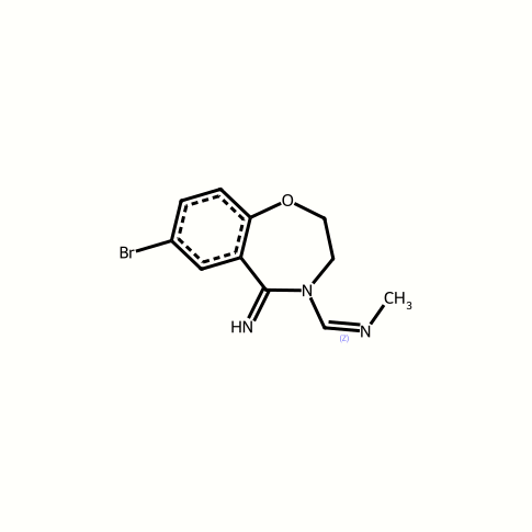 C/N=C\N1CCOc2ccc(Br)cc2C1=N